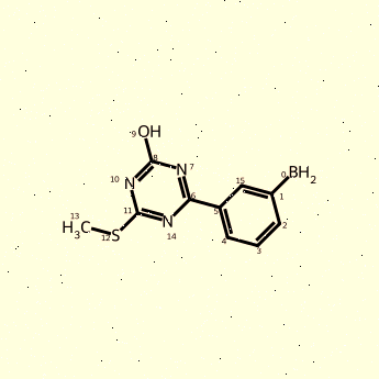 Bc1cccc(-c2nc(O)nc(SC)n2)c1